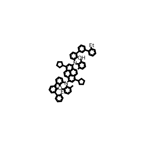 CCc1ccccc1-c1cccc(-c2cccc(N(c3c(C)cccc3C)c3cc(C4CCCC4)c4ccc5c(N(c6c(C)cccc6C)c6cccc7c6oc6c(-c8ccccc8CC)cccc67)cc(C6CCCC6)c6ccc3c4c65)c2O)c1